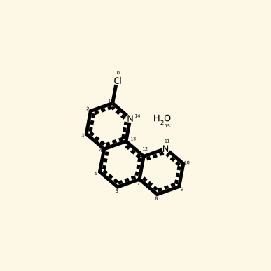 Clc1ccc2ccc3cccnc3c2n1.O